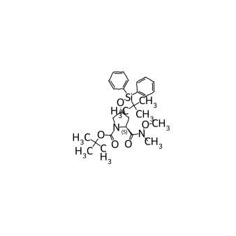 CON(C)C(=O)[C@@H]1C[C@@H](O[Si](c2ccccc2)(c2ccccc2)C(C)(C)C)CN1C(=O)OC(C)(C)C